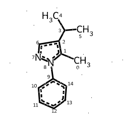 Cc1c(C(C)C)cnn1-c1ccccc1